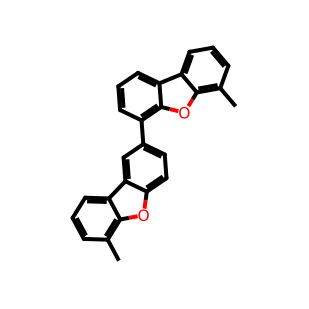 Cc1cccc2c1oc1ccc(-c3cccc4c3oc3c(C)cccc34)cc12